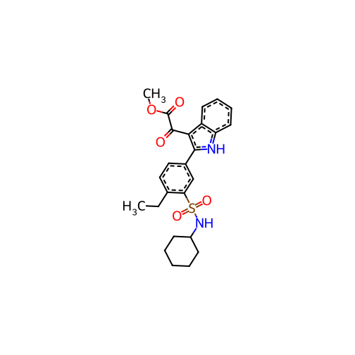 CCc1ccc(-c2[nH]c3ccccc3c2C(=O)C(=O)OC)cc1S(=O)(=O)NC1CCCCC1